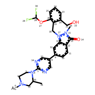 CC(=O)N1CCN(c2ncc(-c3ccc4c(=O)n(C)n(Cc5c(CO)cccc5OC(F)F)c4c3)cn2)C(C)C1